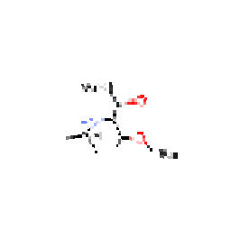 COC(=O)C(N[SiH](C)C)C(C)OC(C)(C)C